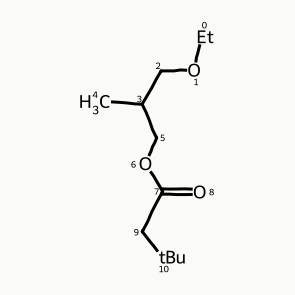 CCOCC(C)COC(=O)CC(C)(C)C